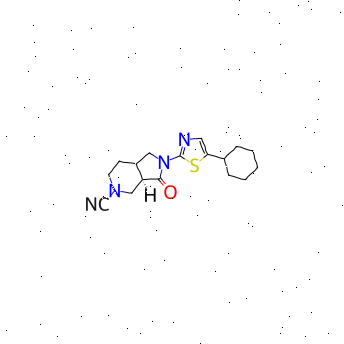 N#CN1CCC2CN(c3ncc(C4CCCCC4)s3)C(=O)[C@H]2C1